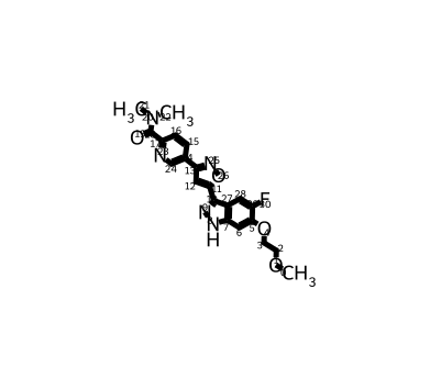 COCCOc1cc2[nH]nc(-c3cc(-c4ccc(C(=O)N(C)C)nc4)no3)c2cc1F